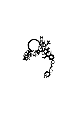 CCc1c(O[C@]2(C)C[C@H]3C(=O)N[C@@](C)(C(=O)NS(=O)(=O)C4(C)CC4)[C@@H](C)/C=C\CCCCC[C@H](NC(=O)OC(C)(C)C)C(=O)N3C2)c(C(F)(F)F)nc2ccc(OCCCOC3CCN(C)CC3)cc12